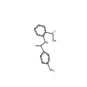 CC(Nc1ccccc1[C@H](C)O)c1ccc([N+](=O)[O-])cc1